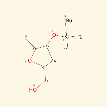 CC1OC(CO)CC1O[Si](C)(C)C(C)(C)C